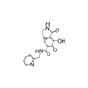 O=C(NCc1ccccn1)c1cn2c(c(O)c1=O)C(=O)NCC2